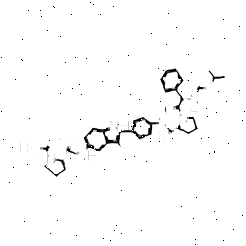 CC(C)OC(=O)N[C@@H](C(=O)N1CCC[C@H]1C(=O)Nc1ccc(-c2[nH]c3ccc(NC(=O)[C@@H]4CCCN4C(=O)O)cc3c2F)cc1)c1ccccc1